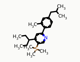 CCC(CC)c1cc(-c2ccc(CC(C)C)cc2C)ncc1S(C)(C)C